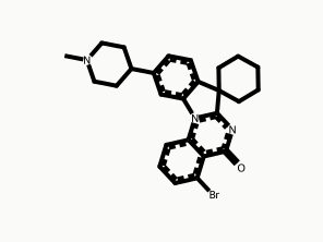 CN1CCC(c2ccc3c(c2)-n2c(nc(=O)c4c(Br)cccc42)C32CCCCC2)CC1